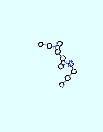 C1=CC(c2ccc(-c3cccc(-c4ccnc(-n5c6c(c7ccccc75)C=C(c5ccc7c(c5)c5ccccc5n7-c5ccc(-c7ccccc7)cc5)CC6)n4)c3)cc2)=CCC1